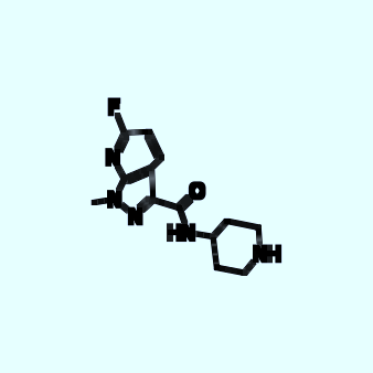 Cn1nc(C(=O)NC2CCNCC2)c2ccc(F)nc21